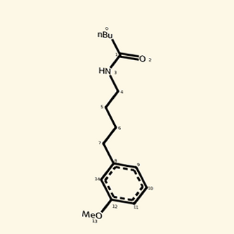 CCCCC(=O)NCCCCc1cccc(OC)c1